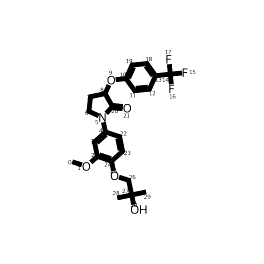 COc1cc(N2CCC(Oc3ccc(C(F)(F)F)cc3)C2=O)ccc1OCC(C)(C)O